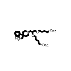 CCCCCCCCCCCCCCOCC(CN1CCC(CN)(c2ccccc2)CC1)OCCCCCCCCCCCCCC